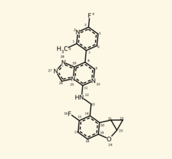 Cc1nc(F)ccc1-c1cnc(NCc2c(F)ccc3c2C2CC2O3)n2cnnc12